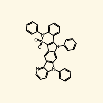 O=S1(=O)c2c(n(-c3ccccc3)c3cc4c(cc23)c2ncccc2n4-c2ccccc2)-c2ccccc2N1c1ccccc1